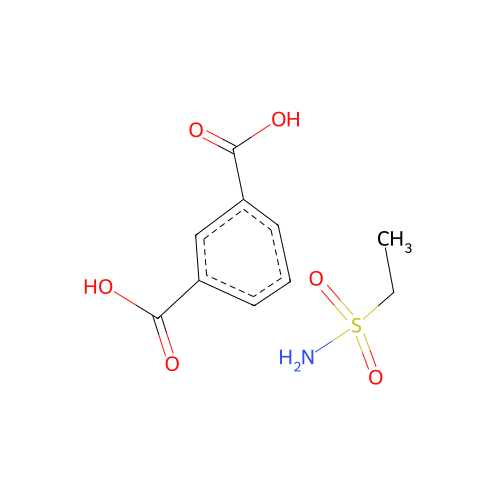 CCS(N)(=O)=O.O=C(O)c1cccc(C(=O)O)c1